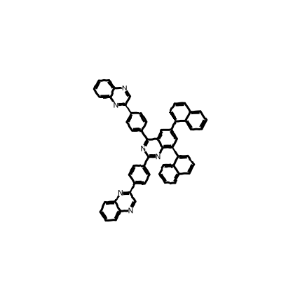 c1ccc2c(-c3cc(-c4cccc5ccccc45)c4nc(-c5ccc(-c6cnc7ccccc7n6)cc5)nc(-c5ccc(-c6cnc7ccccc7n6)cc5)c4c3)cccc2c1